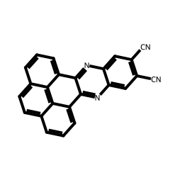 N#Cc1cc2nc3c4cccc5ccc6cccc(c3nc2cc1C#N)c6c54